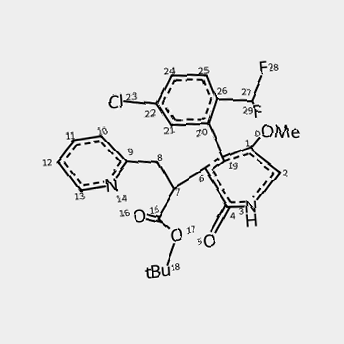 COc1c[nH]c(=O)c(C(Cc2ccccn2)C(=O)OC(C)(C)C)c1-c1cc(Cl)ccc1C(F)F